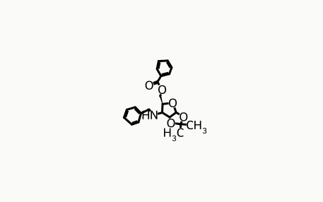 CC1(C)OC2O[C@H](COC(=O)c3ccccc3)C(NCc3ccccc3)C2O1